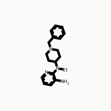 CCN(c1ncccc1N)C1CCN(Cc2ccccc2)CC1